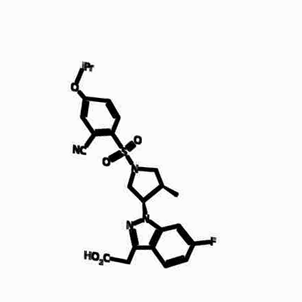 CC(C)Oc1ccc(S(=O)(=O)N2C[C@@H](C)[C@@H](n3nc(CC(=O)O)c4ccc(F)cc43)C2)c(C#N)c1